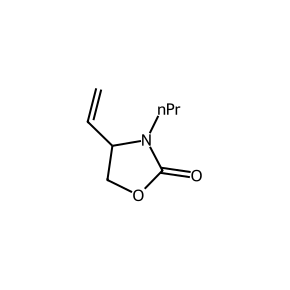 C=CC1COC(=O)N1CCC